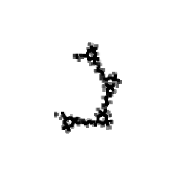 CC1(C)CC(N)CC(C)(C/N=C/C=N/C2CC(C)(C)CC(C)(C/N=C/C=N/CC3(C)CC(/N=C/C=N/CC4(C)CC(N)CC(C)(C)C4)CC(C)(C)C3)C2)C1